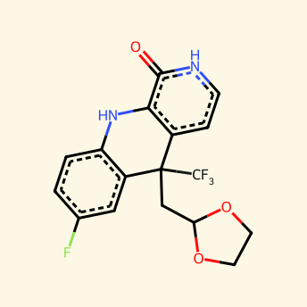 O=c1[nH]ccc2c1Nc1ccc(F)cc1C2(CC1OCCO1)C(F)(F)F